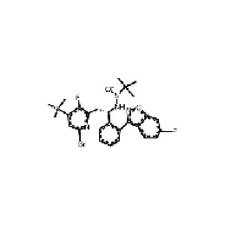 CC(C)(C)[S@+]([O-])N[C@@H](Cc1nc(Br)cc([Si](C)(C)C)c1F)c1ccccc1-c1noc2cc(F)ccc12